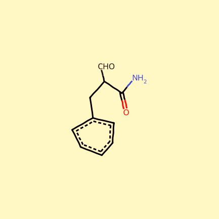 NC(=O)C(C=O)Cc1ccccc1